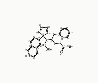 CC(C)(C)OC(C(CCC([NH])=O)Cc1ccccc1)C1(c2ccc3cnccc3c2)C=NN=N1